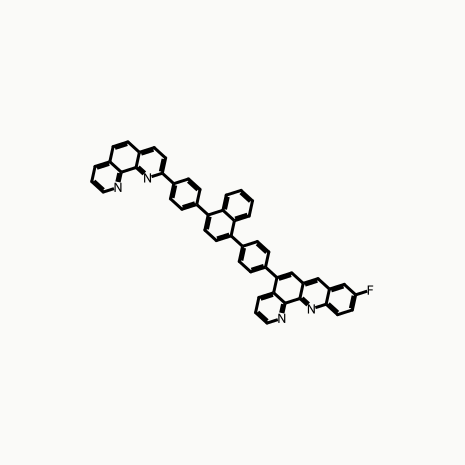 Fc1ccc2nc3c(cc(-c4ccc(-c5ccc(-c6ccc(-c7ccc8ccc9cccnc9c8n7)cc6)c6ccccc56)cc4)c4cccnc43)cc2c1